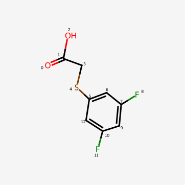 O=C(O)CSc1cc(F)cc(F)c1